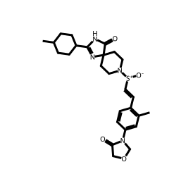 Cc1cc(N2COCC2=O)ccc1/C=C/[S+]([O-])N1CCC2(CC1)N=C(C1CCC(C)CC1)NC2=O